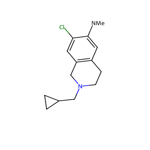 CNc1cc2c(cc1Cl)CN(CC1CC1)CC2